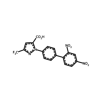 O=C(O)c1cc(C(F)(F)F)nn1-c1ccc(-c2ccc([N+](=O)[O-])cc2[N+](=O)[O-])cc1